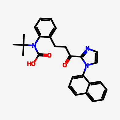 CC(C)(C)N(C(=O)O)c1ccccc1CCC(=O)c1nccn1-c1cccc2ccccc12